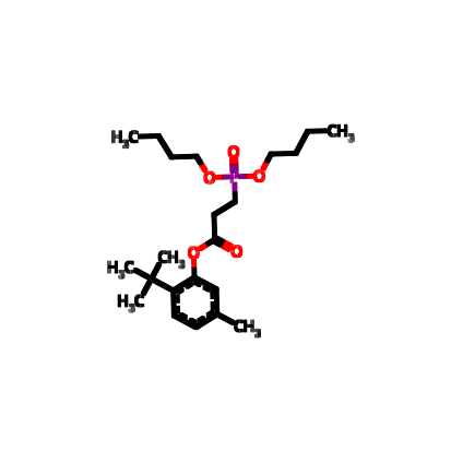 CCCCOP(=O)(CCC(=O)Oc1cc(C)ccc1C(C)(C)C)OCCCC